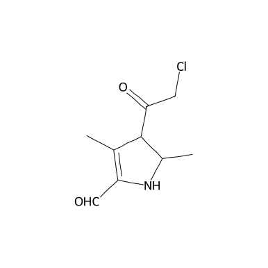 CC1=C(C=O)NC(C)C1C(=O)CCl